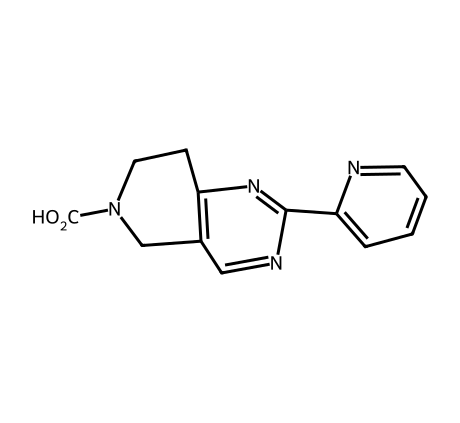 O=C(O)N1CCc2nc(-c3ccccn3)ncc2C1